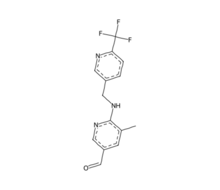 Cc1cc(C=O)cnc1NCc1ccc(C(F)(F)F)nc1